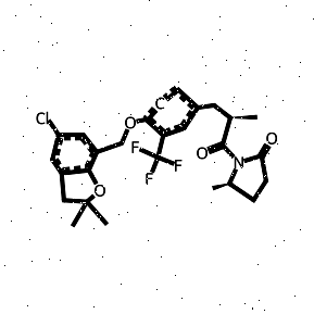 C[C@H](Cc1ccc(OCc2cc(Cl)cc3c2OC(C)(C)C3)c(C(F)(F)F)c1)C(=O)N1C(=O)CC[C@H]1C